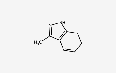 Cc1n[nH]c2c1C=CCC2